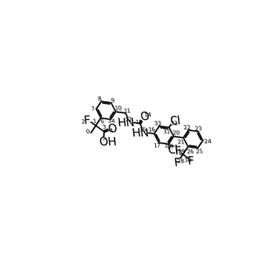 CC(F)(C(=O)O)c1cccc(CNC(=O)Nc2cc(Cl)c(-c3ccccc3C(F)(F)F)c(Cl)c2)c1